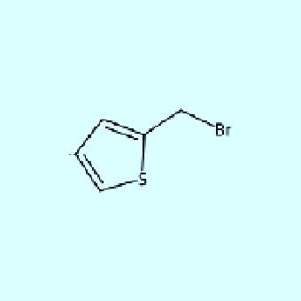 BrCc1c[c]cs1